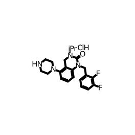 CC(C)N1Cc2c(N3CCNCC3)cccc2N(Cc2cccc(F)c2F)C1=O.Cl